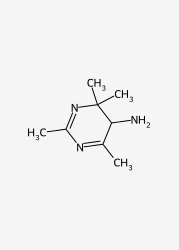 CC1=NC(C)(C)C(N)C(C)=N1